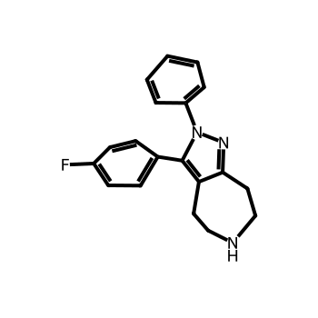 Fc1ccc(-c2c3c(nn2-c2ccccc2)CCNCC3)cc1